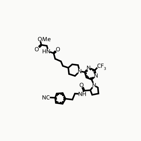 COC(=O)CNC(=O)CCCC1CCN(c2cc(N3CCCC3C(=O)NCCc3ccc(C#N)cc3)nc(C(F)(F)F)n2)CC1